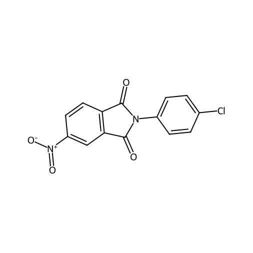 O=C1c2ccc([N+](=O)[O-])cc2C(=O)N1c1ccc(Cl)cc1